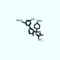 COCc1cc(C#N)cc(-c2ccc(C)c(C3(C4CCC(OC)CC4)N=C(C)C(N)=N3)c2)c1